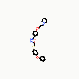 c1ccc(Oc2ccc(SCc3nnc(-c4ccc(OCCCN5CCCCC5)cc4)o3)cc2)cc1